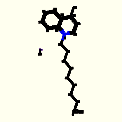 CCCCCCCCCCCCCCCCCC[n+]1ccc(C)c2ccccc21.[I-]